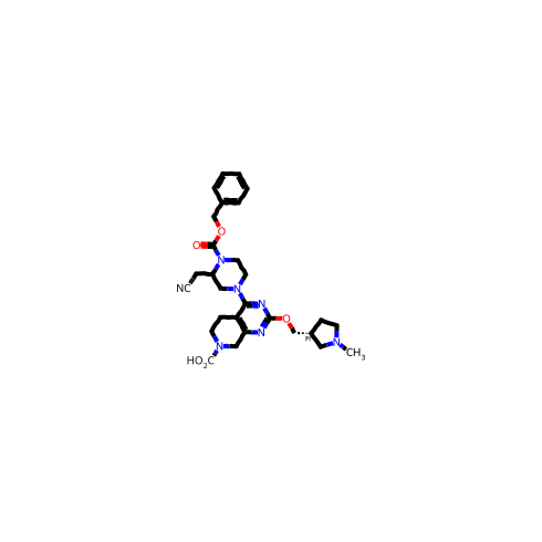 CN1CC[C@@H](COc2nc3c(c(N4CCN(C(=O)OCc5ccccc5)C(CC#N)C4)n2)CCN(C(=O)O)C3)C1